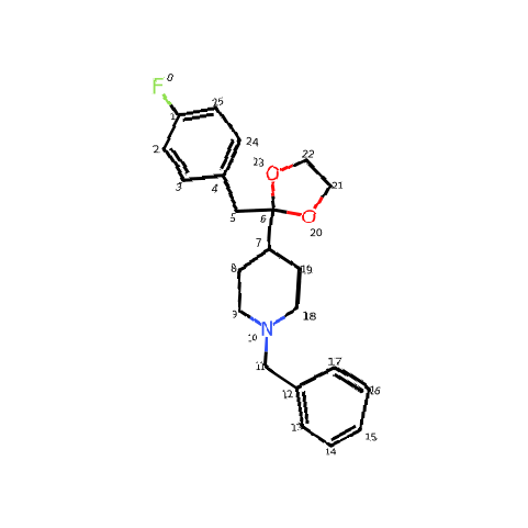 Fc1ccc(CC2(C3CCN(Cc4ccccc4)CC3)OCCO2)cc1